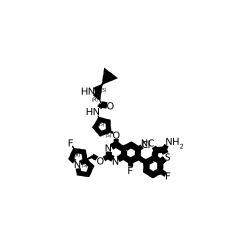 N#Cc1c(N)sc2c(F)ccc(-c3c(Cl)cc4c(O[C@H]5CC[C@H](NC(=O)[C@@H]6N[C@H]6C6CC6)C5)nc(OC[C@@]56CCCN5C[C@H](F)C6)nc4c3F)c12